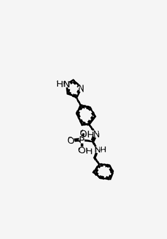 O=P(O)(O)C(=Nc1ccc(-c2c[nH]cn2)cc1)NCc1ccccc1